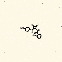 CCC(C)C1CCC(Nc2c(Nc3c[nH]c4ccccc34)c(=O)c2=O)CC1